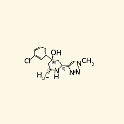 C[C@H]1C[C@](O)(c2cccc(Cl)c2)C[C@@H](c2cn(C)nn2)N1